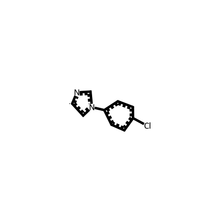 Clc1ccc(-n2c[c]nc2)cc1